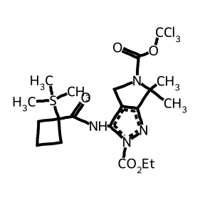 CCOC(=O)n1nc2c(c1NC(=O)C1(S(C)(C)C)CCC1)CN(C(=O)OC(Cl)(Cl)Cl)C2(C)C